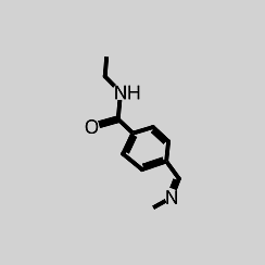 CCNC(=O)c1ccc(/C=N\C)cc1